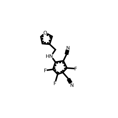 N#Cc1c(F)c(F)c(NCc2ccoc2)c(C#N)c1F